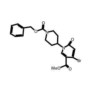 COC(=O)c1cn(C2CCN(C(=O)OCc3ccccc3)CC2)c(=O)cc1Br